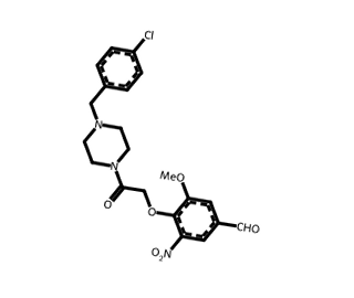 COc1cc(C=O)cc([N+](=O)[O-])c1OCC(=O)N1CCN(Cc2ccc(Cl)cc2)CC1